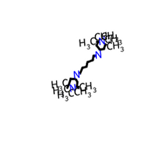 CN1C(C)(C)CC(N=CCCCCC=NC2CC(C)(C)N(C)C(C)(C)C2)CC1(C)C